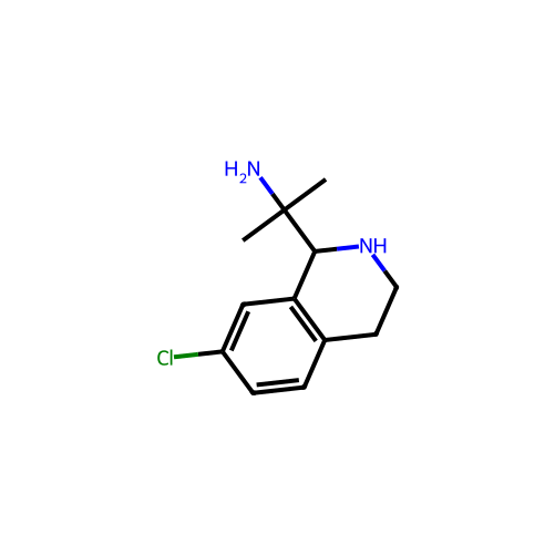 CC(C)(N)C1NCCc2ccc(Cl)cc21